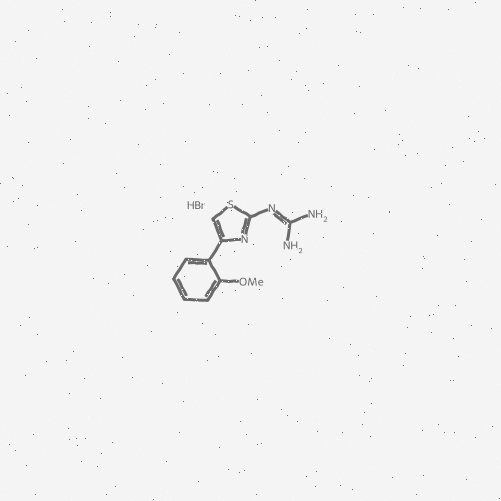 Br.COc1ccccc1-c1csc(N=C(N)N)n1